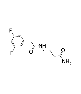 NC(=O)CCCNC(=O)Cc1cc(F)cc(F)c1